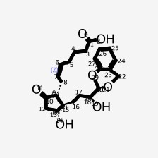 O=C(O)CCC/C=C\C[C@H]1C(=O)C[C@@H](O)[C@@H]1CC[C@H](O)[C@@H]1OCc2ccccc2O1